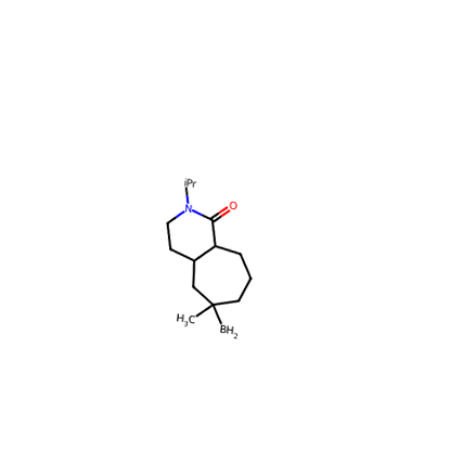 BC1(C)CCCC2C(=O)N(C(C)C)CCC2C1